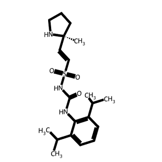 CC(C)c1cccc(C(C)C)c1NC(=O)NS(=O)(=O)/C=C/[C@]1(C)CCCN1